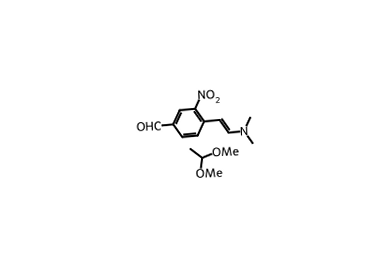 CN(C)/C=C/c1ccc(C=O)cc1[N+](=O)[O-].COC(C)OC